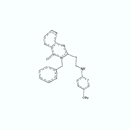 COc1ccc(NCCc2nc3ccccc3c(=O)n2Cc2ccccc2)cc1